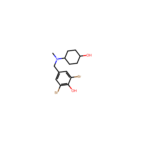 CN(Cc1cc(Br)c(O)c(Br)c1)C1CCC(O)CC1